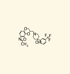 Cc1nc2ccc3c(c2o1)OC(CN1CCC(O)(c2cccc(C(F)(F)F)c2)CC1)CO3